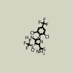 NC(=S)c1nn(-c2c(Cl)cc(C(F)(F)F)cc2Cl)c(N)c1[S+]([O-])C(F)(F)F